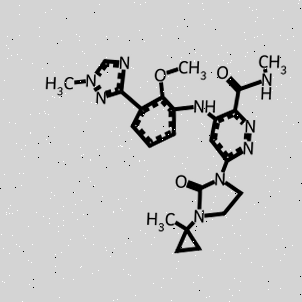 CNC(=O)c1nnc(N2CCN(C3(C)CC3)C2=O)cc1Nc1cccc(-c2ncn(C)n2)c1OC